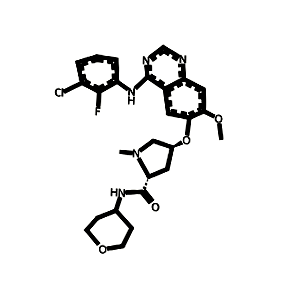 COc1cc2ncnc(Nc3cccc(Cl)c3F)c2cc1O[C@H]1C[C@H](C(=O)NC2CCOCC2)N(C)C1